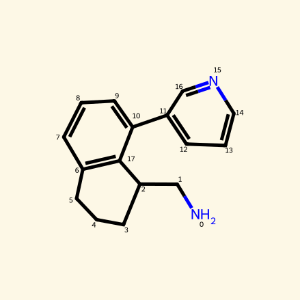 NCC1CCCc2cccc(-c3cccnc3)c21